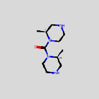 C[C@H]1CNCCN1C(=O)N1CCNC[C@@H]1C